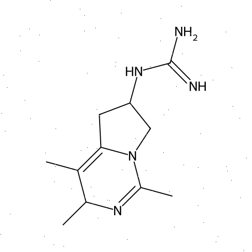 CC1=NC(C)C(C)=C2CC(NC(=N)N)CN12